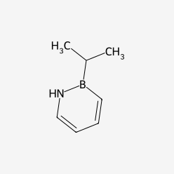 CC(C)B1C=CC=CN1